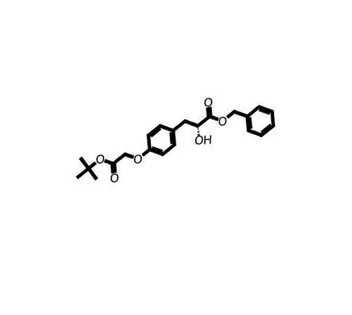 CC(C)(C)OC(=O)COc1ccc(C[C@@H](O)C(=O)OCc2ccccc2)cc1